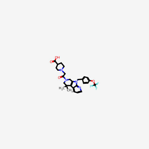 CC1(C)CN(C(=O)CN2CCC(C(=O)O)CC2)Cc2c1c1cccnc1n2Cc1ccc(OC(F)(F)F)cc1